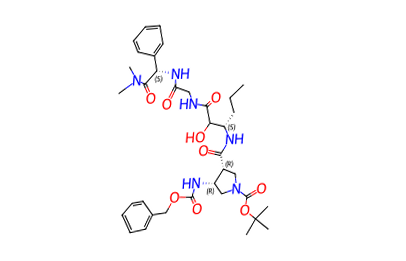 CCC[C@H](NC(=O)[C@@H]1CN(C(=O)OC(C)(C)C)C[C@@H]1NC(=O)OCc1ccccc1)C(O)C(=O)NCC(=O)N[C@H](C(=O)N(C)C)c1ccccc1